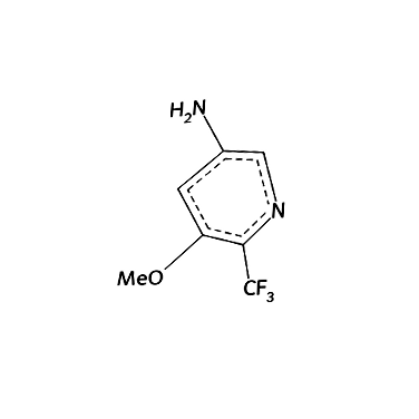 COc1cc(N)cnc1C(F)(F)F